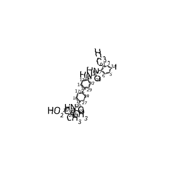 Cc1cc(I)ccc1NC(=O)Nc1ccc(-c2ccc(C(=O)NC(C)(C)C(=O)O)cc2)cc1